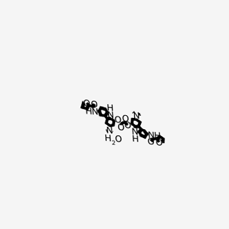 CN(C)C1Cc2c([nH]c3ccc(NC(=O)c4ccco4)cc23)C(OC(=O)C(=O)OC2CC(N(C)C)Cc3c2[nH]c2ccc(NC(=O)c4ccco4)cc32)C1.O